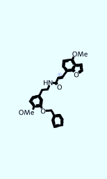 COc1ccc(CCNC(=O)/C=C/c2ccc(OC)c3ccoc23)cc1OCc1ccccc1